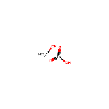 O=C(O)O.[O]=[Ta](=[O])[OH]